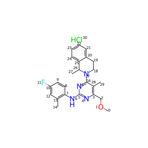 COCc1nc(Nc2ccc(F)cc2C)nc(N2CCc3ccccc3C2C)c1C.Cl